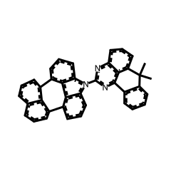 CC1(C)c2ccccc2-c2nc(-n3c4cccc5c4c4c(cccc43)-c3cccc4cccc-5c34)nc3cccc1c23